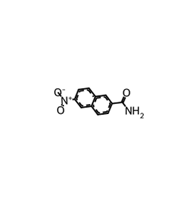 NC(=O)c1ccc2cc([N+](=O)[O-])ccc2c1